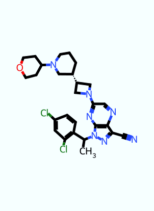 CC(c1ccc(Cl)cc1Cl)n1nc(C#N)c2ncc(N3CC([C@H]4CCCN(C5CCOCC5)C4)C3)nc21